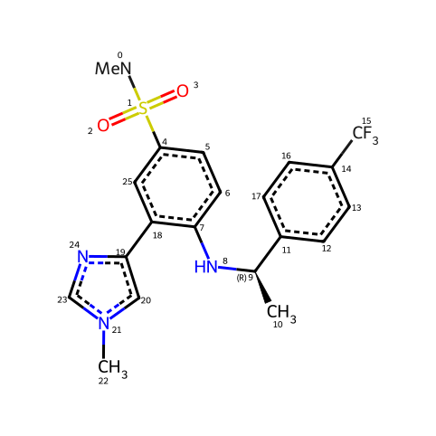 CNS(=O)(=O)c1ccc(N[C@H](C)c2ccc(C(F)(F)F)cc2)c(-c2cn(C)cn2)c1